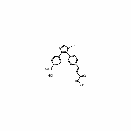 CCn1cnc(-c2ccc(OC)cc2)c1-c1ccc(C=CC(=O)NO)cc1.Cl